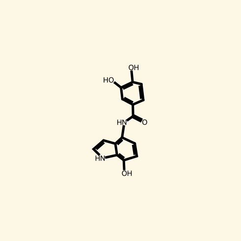 O=C(Nc1ccc(O)c2[nH]ccc12)c1ccc(O)c(O)c1